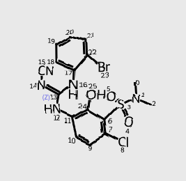 CN(C)S(=O)(=O)c1c(Cl)ccc(N/C(=N/C#N)Nc2ccccc2Br)c1O